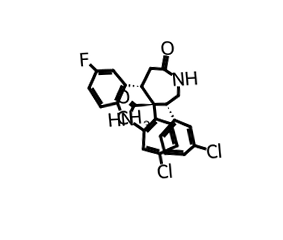 Cc1ccc(F)cc1[C@@H]1CC(=O)NC[C@H](c2cccc(Cl)c2)[C@@]12C(=O)Nc1cc(Cl)ccc12